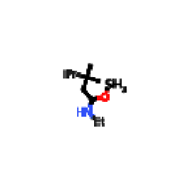 CCNC(CC(C)(C)C(C)C)O[SiH3]